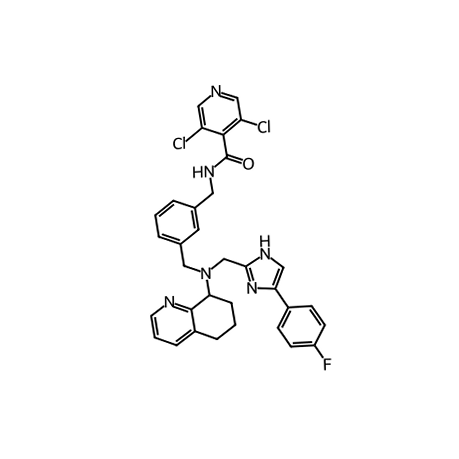 O=C(NCc1cccc(CN(Cc2nc(-c3ccc(F)cc3)c[nH]2)C2CCCc3cccnc32)c1)c1c(Cl)cncc1Cl